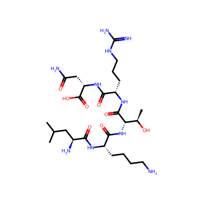 CC(C)C[C@H](N)C(=O)N[C@@H](CCCCN)C(=O)N[C@H](C(=O)N[C@@H](CCCNC(=N)N)C(=O)N[C@@H](CC(N)=O)C(=O)O)[C@@H](C)O